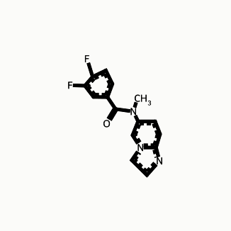 CN(C(=O)c1ccc(F)c(F)c1)c1ccc2nccn2c1